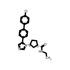 CCNC(=O)[C@H]1CC[C@@H](n2cncc2-c2ccc(-c3ccc(Cl)cc3)cc2)C1